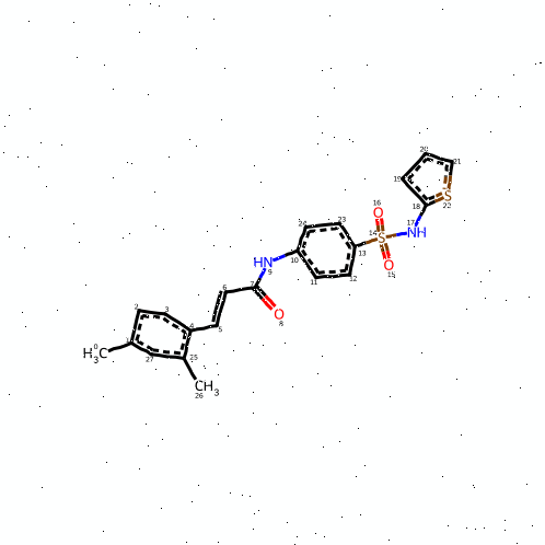 Cc1ccc(/C=C/C(=O)Nc2ccc(S(=O)(=O)Nc3cccs3)cc2)c(C)c1